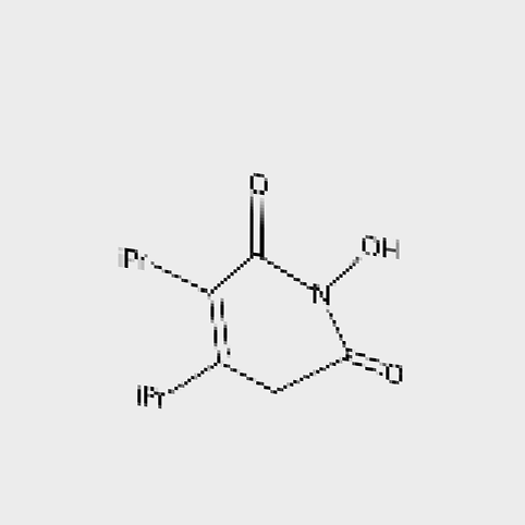 CC(C)C1=C(C(C)C)C(=O)N(O)C(=O)C1